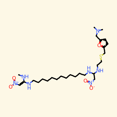 CNC(=C[N+](=O)[O-])NCCCCCCCCCCCCNC(C[N+](=O)[O-])NCCSCc1ccc(CN(C)C)o1